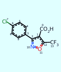 O=C(O)c1c(-c2ccc(Cl)cc2)noc1C(F)(F)F